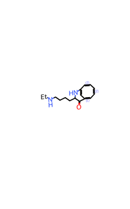 CCNCCCCC1NC2=CC(=C/C=C\C=C/2)\C1=O